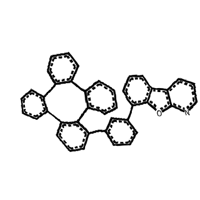 c1cc(-c2cccc3c2-c2ccccc2-c2ccccc2-c2ccccc2-3)cc(-c2cccc3c2oc2ncccc23)c1